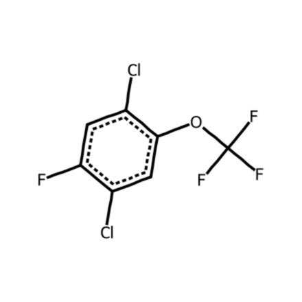 Fc1cc(Cl)c(OC(F)(F)F)cc1Cl